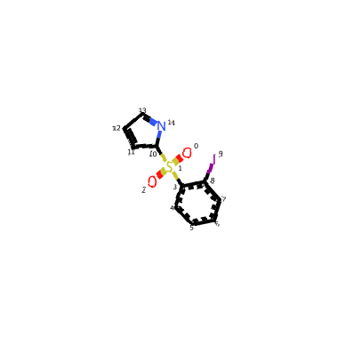 O=S(=O)(c1ccccc1I)C1C=CC=N1